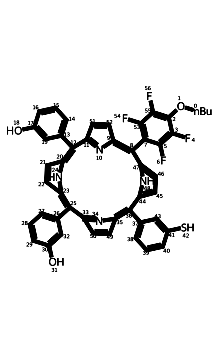 CCCCOc1c(F)c(F)c(-c2c3nc(c(-c4cccc(O)c4)c4ccc([nH]4)c(-c4cccc(O)c4)c4nc(c(-c5cccc(S)c5)c5ccc2[nH]5)C=C4)C=C3)c(F)c1F